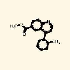 COC(=O)c1ccc2nccc(-c3ccccc3C)c2c1